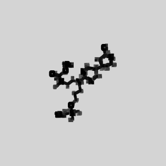 CN(CCN(CCCO[Si](C)(C)C(C)(C)C)c1ncc(-c2ccnc(Cl)c2)cn1)C(=O)OC(C)(C)C